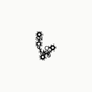 O=C(NCc1ccccc1Cl)c1cn(CCCN2CCC(c3nc4ccccc4s3)CC2)c2ccccc12